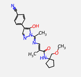 COCC1(NC(=O)/C(C)=C/N=C(\C)n2ncc(-c3ccc(C#N)cc3)c2O)CCCC1